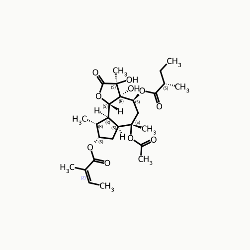 C/C=C(/C)C(=O)O[C@H]1C[C@H]2[C@@H]([C@H]1C)[C@@H]1OC(=O)[C@@](C)(O)[C@@]1(O)[C@@H](OC(=O)[C@@H](C)CC)C[C@]2(C)OC(C)=O